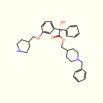 O=C(OCC1CCN(Cc2ccccc2)CC1)[C@](O)(c1ccccc1)c1cccc(OCC2CCNCC2)c1